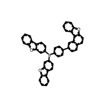 c1ccc2c(c1)oc1cc(N(c3ccc(-c4ccc5ccc6oc7ccccc7c6c5c4)cc3)c3ccc4c(c3)oc3ccccc34)ccc12